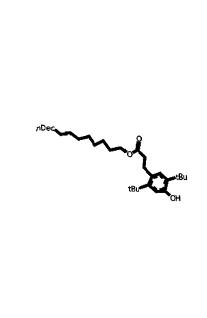 CCCCCCCCCCCCCCCCCCOC(=O)CCc1cc(C(C)(C)C)c(O)cc1C(C)(C)C